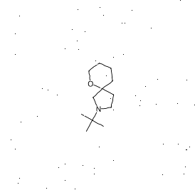 CC(C)(C)N1CCC2(CCCCO2)C1